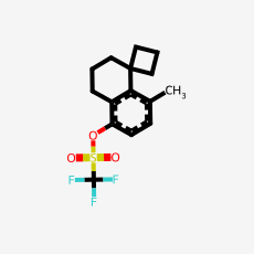 Cc1ccc(OS(=O)(=O)C(F)(F)F)c2c1C1(CCC2)CCC1